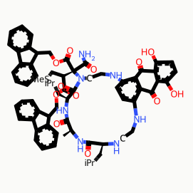 CSCC(C(=O)OCC1c2ccccc2-c2ccccc21)[C@](C(N)=O)(C(=O)OCC1c2ccccc2-c2ccccc21)N1CCNc2ccc(c3c2C(=O)c2c(O)ccc(O)c2C3=O)NCCN[C@@H](CC(C)C)C(=O)N[C@@H](C)C(=O)N[C@@H](CC(C)C)C1=O